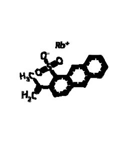 C=C(C)c1ccc2cc3ccccc3cc2c1S(=O)(=O)[O-].[Rb+]